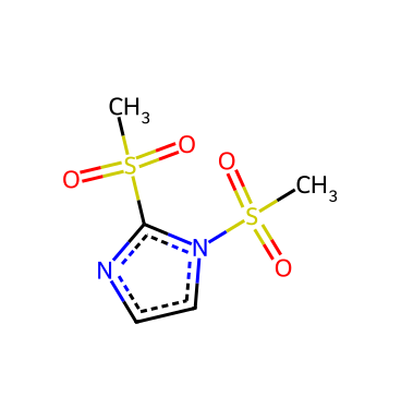 CS(=O)(=O)c1nccn1S(C)(=O)=O